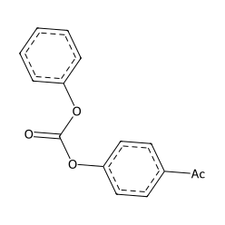 CC(=O)c1ccc(OC(=O)Oc2ccccc2)cc1